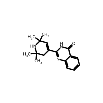 CC1(C)C=C(c2nc3ccccc3c(=O)[nH]2)CC(C)(C)N1